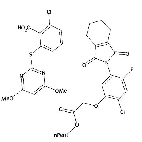 CCCCCOC(=O)COc1cc(N2C(=O)C3=C(CCCC3)C2=O)c(F)cc1Cl.COc1cc(OC)nc(Sc2cccc(Cl)c2C(=O)O)n1